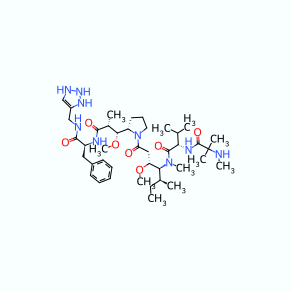 CC[C@H](C)[C@@H]([C@@H](CC(=O)N1CCC[C@H]1[C@H](OC)[C@@H](C)C(=O)N[C@@H](Cc1ccccc1)C(=O)NCC1=CNNN1)OC)N(C)C(=O)[C@@H](NC(=O)C(C)(C)NC)C(C)C